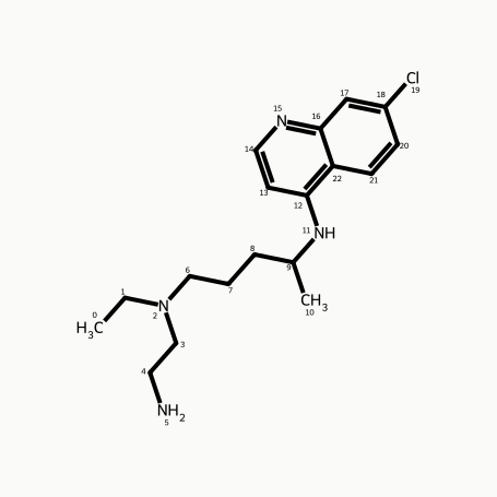 CCN(CCN)CCCC(C)Nc1ccnc2cc(Cl)ccc12